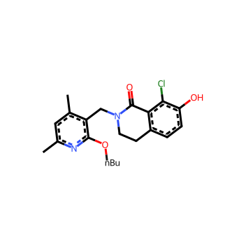 CCCCOc1nc(C)cc(C)c1CN1CCc2ccc(O)c(Cl)c2C1=O